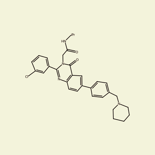 CC(C)NC(=O)Cn1c(-c2cccc(Cl)c2)nc2ccc(-c3ccc(CN4CCCCC4)cc3)cc2c1=O